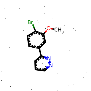 COc1cc(-c2cccnn2)ccc1Br